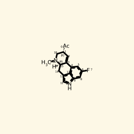 CC(=O)[C@@H]1C=C2c3cc(F)cc4[nH]cc(c34)C[C@H]2N(C)C1